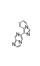 [c]1ccn2cnc(-c3cn4ccnc4cn3)c2c1